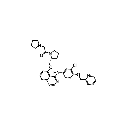 O=C(CN1CCCC1)N1CCC[C@@H]1COc1cccc2ncnc(Nc3ccc(OCc4ccccn4)c(Cl)c3)c12